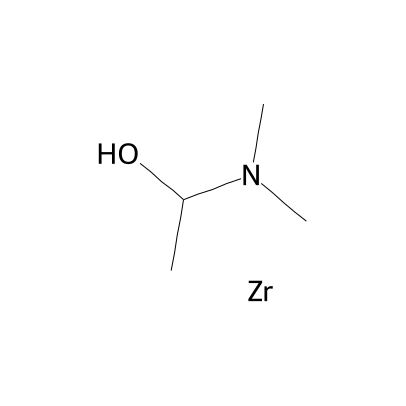 CC(O)N(C)C.[Zr]